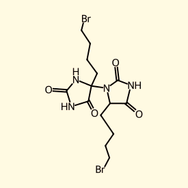 O=C1NC(=O)C(CCCCBr)(N2C(=O)NC(=O)C2CCCCBr)N1